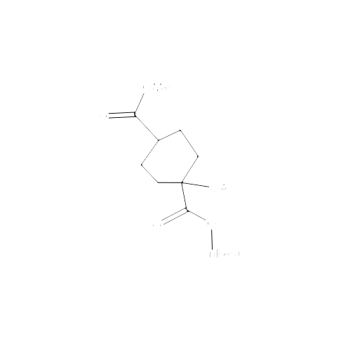 CCCCCOC(=O)C1(OC(C)=O)CCC(C(=O)OC)CC1